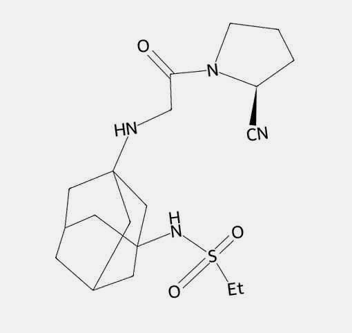 CCS(=O)(=O)NC12CC3CC(CC(NCC(=O)N4CCC[C@H]4C#N)(C3)C1)C2